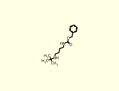 CC(C)(C)NCCCCNC(=O)OCc1ccccc1